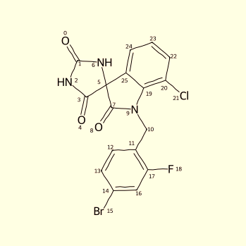 O=C1NC(=O)C2(N1)C(=O)N(Cc1ccc(Br)cc1F)c1c(Cl)cccc12